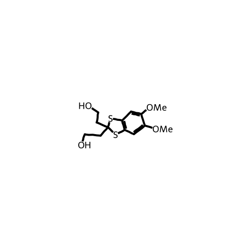 COc1cc2c(cc1OC)SC(CCO)(CCO)S2